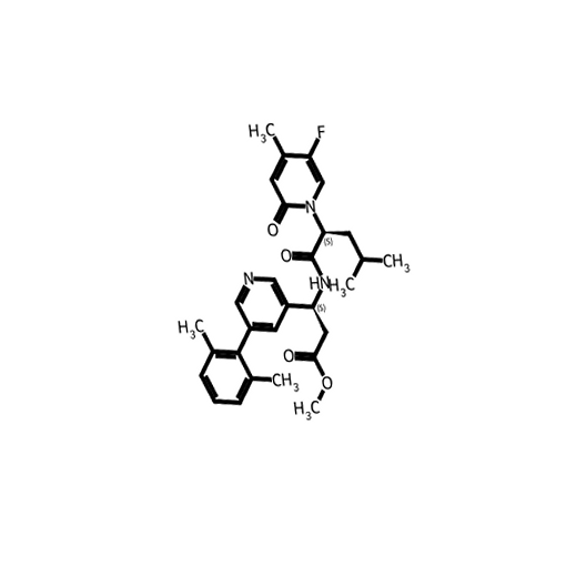 COC(=O)C[C@H](NC(=O)[C@H](CC(C)C)n1cc(F)c(C)cc1=O)c1cncc(-c2c(C)cccc2C)c1